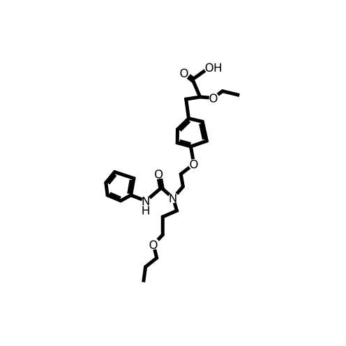 CCCOCCCN(CCOc1ccc(CC(OCC)C(=O)O)cc1)C(=O)Nc1ccccc1